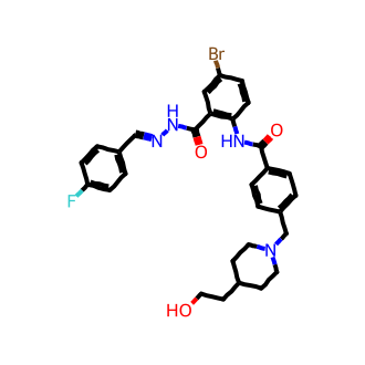 O=C(Nc1ccc(Br)cc1C(=O)NN=Cc1ccc(F)cc1)c1ccc(CN2CCC(CCO)CC2)cc1